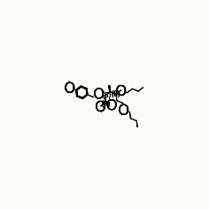 C=C1[C@@H](OCCCC)C(COCCCC)O[C@@H](OC)[C@H]1OCc1ccc(OC)cc1